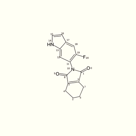 O=C1C2=C(CCCC2)C(=O)N1c1cc2[nH]ccc2cc1F